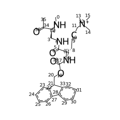 CN[C@@H](CNC(=O)[C@H](CCCC[N+](C)(C)C)NC(=O)OCC1c2ccccc2-c2ccccc21)C(C)=O